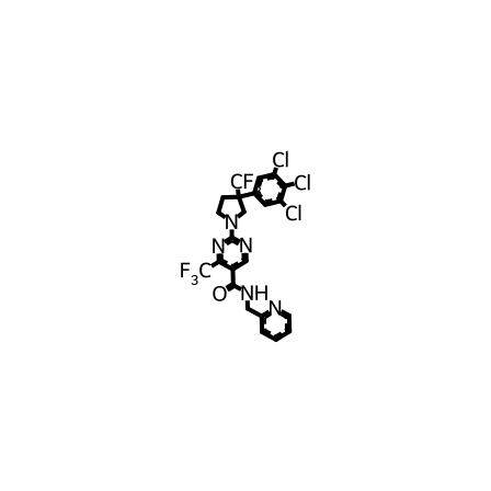 O=C(NCc1ccccn1)c1cnc(N2CCC(c3cc(Cl)c(Cl)c(Cl)c3)(C(F)(F)F)C2)nc1C(F)(F)F